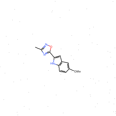 COc1ccc2[nH]c(-c3nc(C)no3)cc2c1